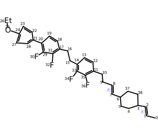 C/C=C/C1CCC(/C=C/CCc2ccc(CCc3ccc(-c4ccc(OCC)cc4)c(F)c3F)c(F)c2F)CC1